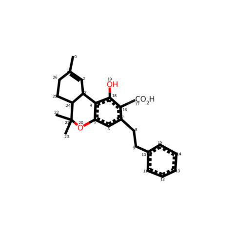 CC1=CC2c3c(cc(CCc4ccccc4)c(C(=O)O)c3O)OC(C)(C)C2CC1